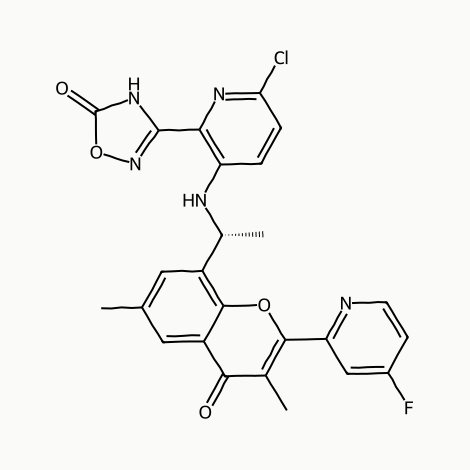 Cc1cc([C@@H](C)Nc2ccc(Cl)nc2-c2noc(=O)[nH]2)c2oc(-c3cc(F)ccn3)c(C)c(=O)c2c1